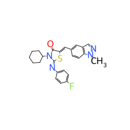 Cn1ncc2cc(/C=C3\S/C(=N\c4ccc(F)cc4)N(C4CCCCC4)C3=O)ccc21